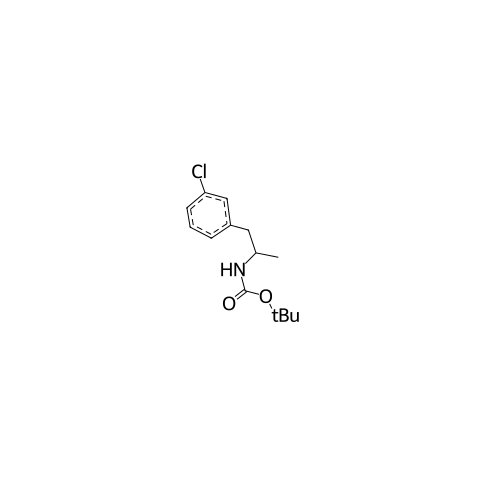 CC(Cc1cccc(Cl)c1)NC(=O)OC(C)(C)C